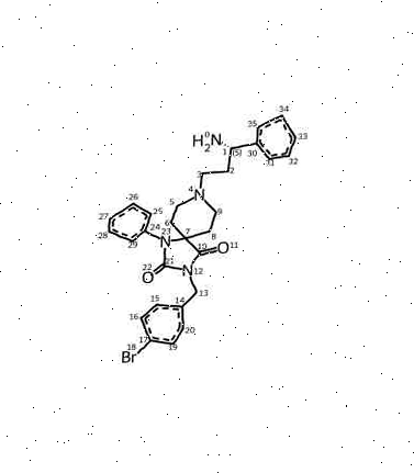 N[C@@H](CCN1CCC2(CC1)C(=O)N(Cc1ccc(Br)cc1)C(=O)N2c1ccccc1)c1ccccc1